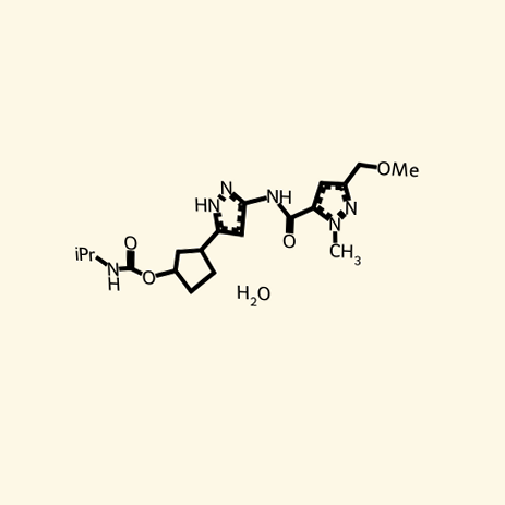 COCc1cc(C(=O)Nc2cc(C3CCC(OC(=O)NC(C)C)C3)[nH]n2)n(C)n1.O